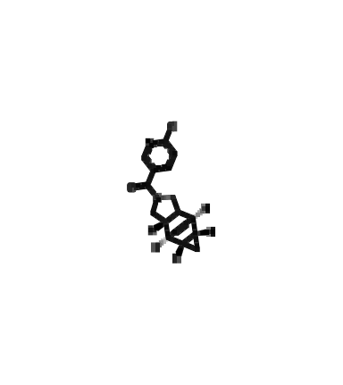 O=C(c1ccc(Cl)nc1)N1CC2[C@@H](C1)[C@H]1C=C[C@@H]2[C@@H]2C[C@H]12